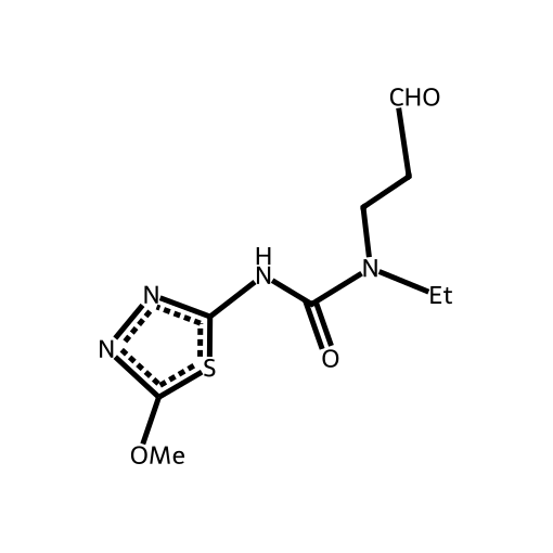 CCN(CCC=O)C(=O)Nc1nnc(OC)s1